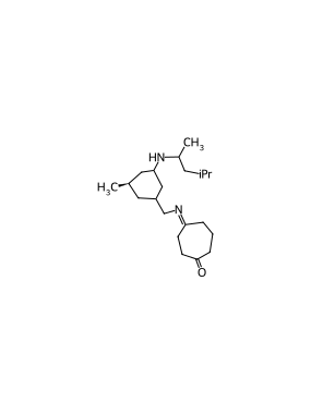 CC(C)CC(C)NC1CC(C/N=C2/CCCC(=O)CC2)C[C@@H](C)C1